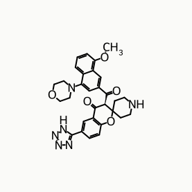 COc1cccc2c(N3CCOCC3)cc(C(=O)[C@@H]3C(=O)c4cc(-c5nnn[nH]5)ccc4OC34CCNCC4)cc12